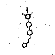 N#Cc1c(F)cc([C@H]2CC[C@H]([C@H]3CC[C@H](CCCC4CCCC4)CC3)CC2)cc1F